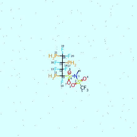 CN(S(=O)(=O)C(F)(F)F)S(=O)(=O)C(F)(P)C(F)(F)C(F)(P)C(F)(F)P